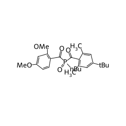 CCCCP(=O)(C(=O)c1ccc(OC)cc1OC)C(=O)c1c(C)cc(C(C)(C)C)cc1C